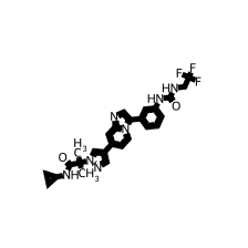 CC(C)(C(=O)NC1CC1)n1cc(-c2ccn3c(-c4cccc(NC(=O)NCC(F)(F)F)c4)cnc3c2)cn1